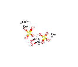 O=S(=O)([O-])[O-].O=S(=O)([O-])[O-].O=[N+]([O-])[O-].O=[N+]([O-])[O-].[Cu+2].[Cu+2].[Cu+2]